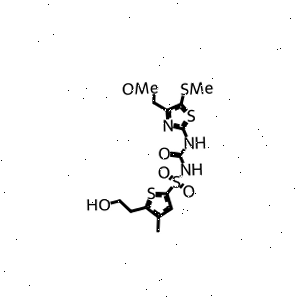 COCc1nc(NC(=O)NS(=O)(=O)c2cc(C)c(CCO)s2)sc1SC